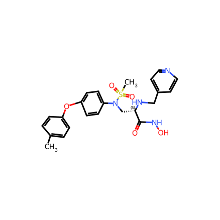 Cc1ccc(Oc2ccc(N(C[C@H](NCc3ccncc3)C(=O)NO)S(C)(=O)=O)cc2)cc1